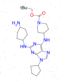 CC(C)(C)COC(=O)N1CCC(Nc2nc(NC3CCC(N)CC3)nc3c2ncn3C2CCCC2)CC1